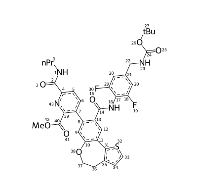 CCCNC(=O)c1ccc(-c2cc3c(cc2C(=O)Nc2c(F)cc(CNC(=O)OC(C)(C)C)cc2F)-c2sccc2CCO3)c(C(=O)OC)n1